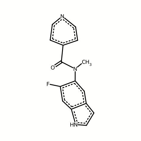 CN(C(=O)c1ccncc1)c1cc2cc[nH]c2cc1F